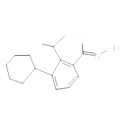 CC(C)c1c(C(Cl)=NO)cccc1C1CCCCC1